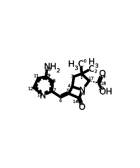 CC1(C)CC2/C(=C\c3cc(N)ccn3)C(=O)N2[C@H]1C(=O)O